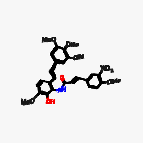 COc1ccc(/C=C/C(=O)Nc2c(C=Cc3cc(OC)c(OC)c(OC)c3)ccc(OC)c2O)cc1[N+](=O)[O-]